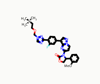 COc1ccccc1C1COC(=O)N1c1ccn2ncc(-c3ccc(-c4ncn(COCC[Si](C)(C)C)n4)c(F)c3)c2n1